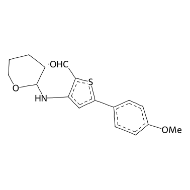 COc1ccc(-c2cc(NC3CCCCO3)c([C]=O)s2)cc1